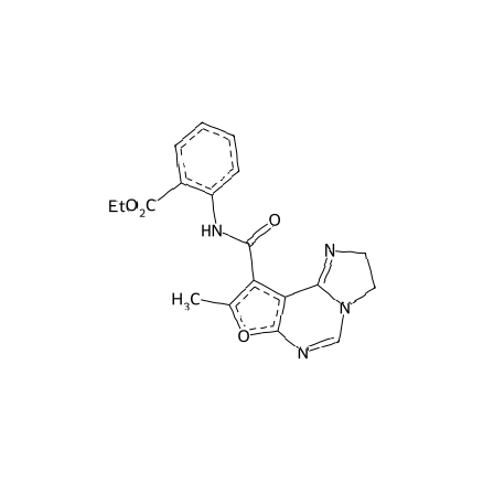 CCOC(=O)c1ccccc1NC(=O)c1c(C)oc2c1C1=NCCN1C=N2